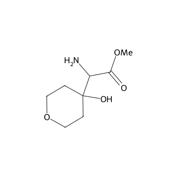 COC(=O)C(N)C1(O)CCOCC1